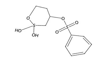 O=S(=O)(OC1CCOS(O)(O)C1)c1ccccc1